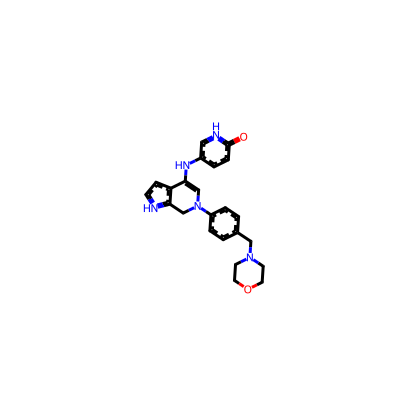 O=c1ccc(NC2=CN(c3ccc(CN4CCOCC4)cc3)Cc3[nH]ccc32)c[nH]1